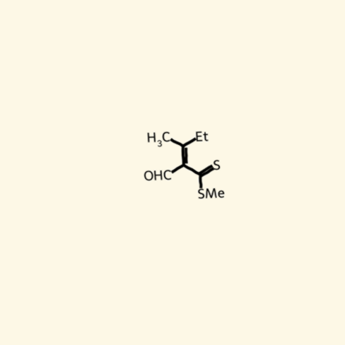 CCC(C)=C(C=O)C(=S)SC